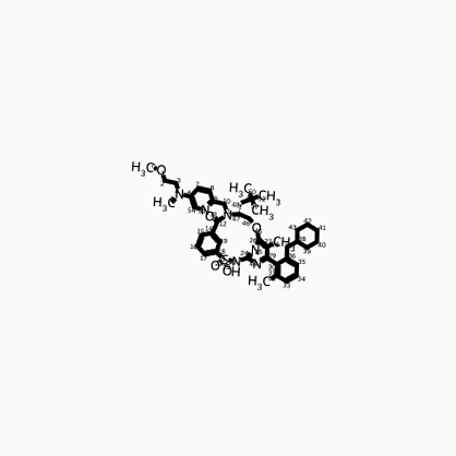 COCCN(C)c1ccc(CN2C(=O)c3cccc(c3)S(=O)(=O)Nc3nc(c(C)c(-c4c(C)cccc4CC4CCCCC4)n3)OC[C@H]2CC(C)(C)C)nc1